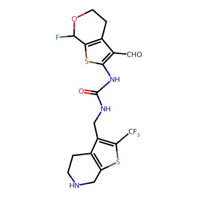 O=Cc1c(NC(=O)NCc2c(C(F)(F)F)sc3c2CCNC3)sc2c1CCOC2F